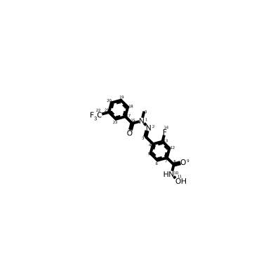 CN(N=Cc1ccc(C(=O)NO)cc1F)C(=O)c1cccc(C(F)(F)F)c1